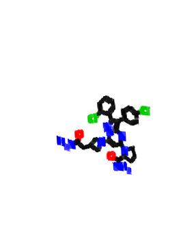 NC(=O)CC1CN(c2cc(N3CCC[C@H]3C(N)=O)nc3c(-c4ccc(Cl)cc4)c(-c4ccccc4Cl)nn23)C1